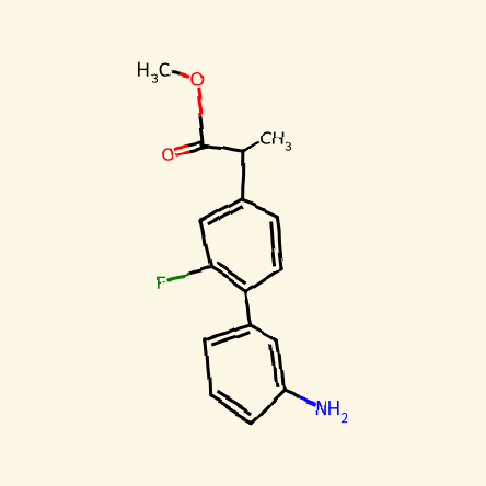 COC(=O)C(C)c1ccc(-c2cccc(N)c2)c(F)c1